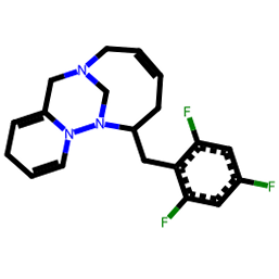 Fc1cc(F)c(CC2CC=CCN3CC4=CCC=CN4N2C3)c(F)c1